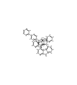 c1ccc(-c2ccc(-c3nc(-c4ccccc4)nc(-c4cccc5oc6cccc(-c7cccc8c7oc7ccccc78)c6c45)n3)cc2)cc1